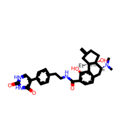 C=C1CC[C@@]2(O)[C@H](N(C)C)Cc3ccc(C(=O)NCCc4ccc(-c5c[nH]c(=O)[nH]c5=O)cc4)c(O)c3[C@@]2(CC)C1